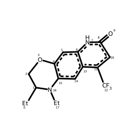 CCC1COc2cc3[nH]c(=O)cc(C(F)(F)F)c3cc2N1CC